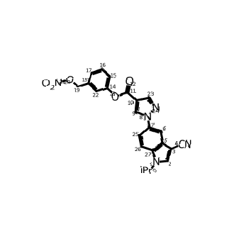 CC(C)n1cc(C#N)c2cc(-n3cc(C(=O)Oc4cccc(CO[N+](=O)[O-])c4)cn3)ccc21